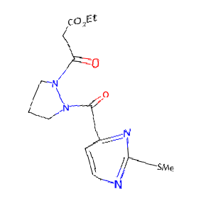 CCOC(=O)CC(=O)N1CCCN1C(=O)c1ccnc(SC)n1